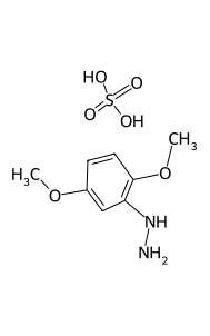 COc1ccc(OC)c(NN)c1.O=S(=O)(O)O